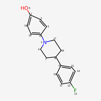 Oc1ccc(N2CCC(c3ccc(F)cc3)CC2)cc1